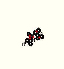 N#Cc1ccc(-c2ccc(-c3cccc4c3-c3c(-c5nc(-c6ccccc6)nc(-c6ccccc6)n5)cccc3C43c4ccccc4Sc4ccccc43)cc2)cc1